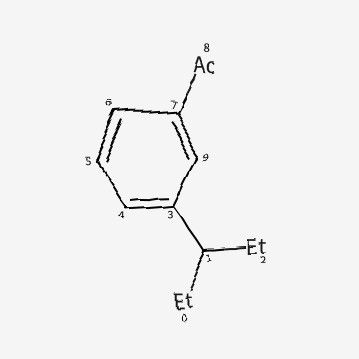 CCC(CC)c1cccc(C(C)=O)c1